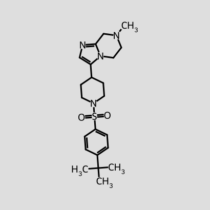 CN1CCn2c(C3CCN(S(=O)(=O)c4ccc(C(C)(C)C)cc4)CC3)cnc2C1